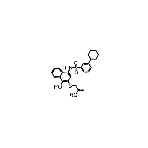 C=C(O)CSc1cc(NS(=O)(=O)c2cccc(C3CCCCC3)c2)c2ccccc2c1O